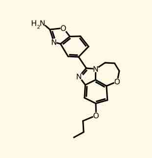 CCCOc1cc2c3c(c1)nc(-c1ccc4oc(N)nc4c1)n3CCCO2